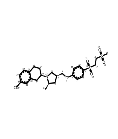 C[C@@H]1C[C@H](COc2ccc(S(=O)(=O)CCS(C)(=O)=O)cc2)CN1[C@@H]1CCc2ccc(Cl)cc2C1